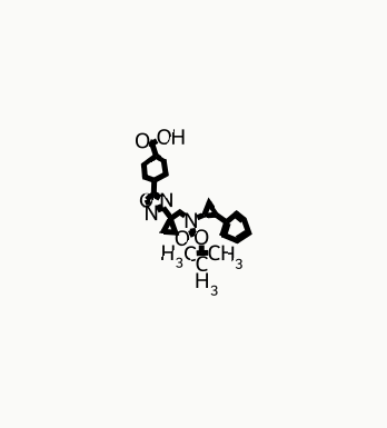 CC(C)(C)OC(=O)N(CC1(c2noc(C3CCC(C(=O)O)CC3)n2)CC1)C1CC1c1ccccc1